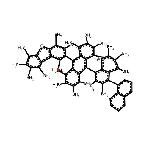 Bc1c(B)c(B)c2c(oc3c(B)c(B)c(-c4c5c(B)c(B)c(B)c(B)c5c(-c5c(B)c(B)c(-c6cccc7ccccc67)c6c(B)c(B)c(B)c(B)c56)c5c(B)c(B)c(B)c(B)c45)c(B)c32)c1B